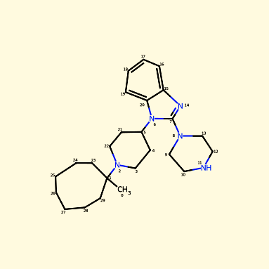 CC1(N2CCC(n3c(N4CCNCC4)nc4ccccc43)CC2)CCCCCCC1